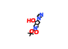 CC(C)(C)OC(=O)N1CC2CC(n3ccnc3)C(O)C2C1